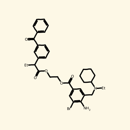 CCC(C(=O)OCCOC(=O)c1cc(Br)c(N)c(CN(CC)C2CCCCC2)c1)c1cccc(C(=O)c2ccccc2)c1